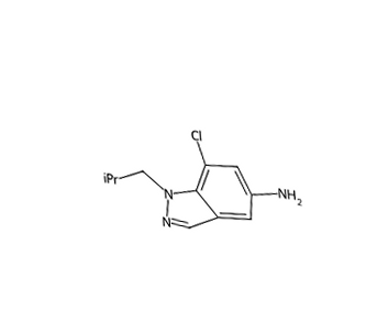 CC(C)Cn1ncc2cc(N)cc(Cl)c21